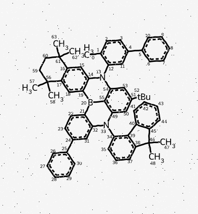 Cc1ccc(-c2ccccc2)cc1N1c2cc3c(cc2B2c4ccc(-c5ccccc5)cc4N(c4cccc5c4-c4ccccc4C5(C)C)c4cc(C(C)(C)C)cc1c42)C(C)(C)CCC3(C)C